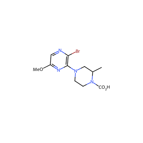 COc1cnc(Br)c(N2CCN(C(=O)O)C(C)C2)n1